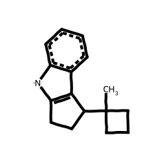 CC1(C2CCC3=C2c2ccccc2[N]3)CCC1